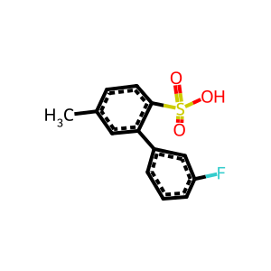 Cc1ccc(S(=O)(=O)O)c(-c2cccc(F)c2)c1